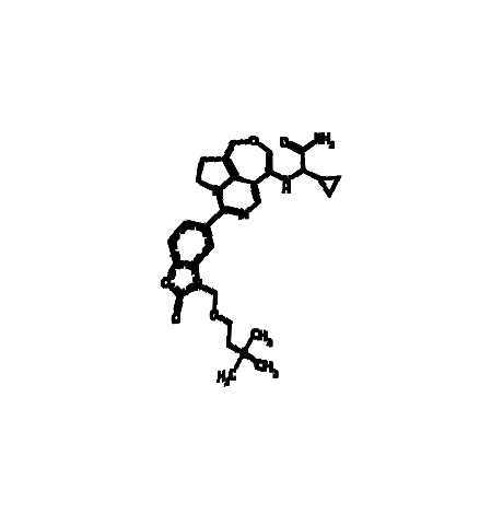 C[Si](C)(C)CCOCn1c(=O)oc2ccc(C3=NC=C4C(NC(C(N)=O)C5CC5)=COCC5=C4N3CC5)cc21